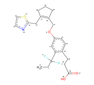 CCC(F)(F)c1cc(OCC2=C(Cc3nccs3)CCC2)ccc1CCC(=O)O